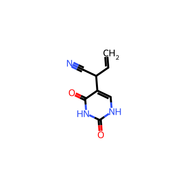 C=CC(C#N)c1c[nH]c(=O)[nH]c1=O